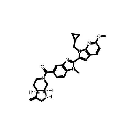 C=C1CN[C@@H]2CN(C(=O)c3ccc4c(c3)nc(-c3cc5ccc(OC)nc5n3CC3CC3)n4C)CC[C@H]12